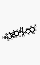 O=C(Nc1ccc(C2C3CCC2CNC3)cc1)N1Cc2ccc(F)cc2C1